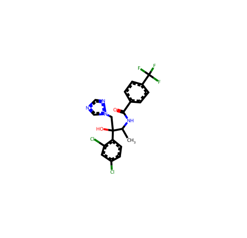 CC(NC(=O)c1ccc(C(F)(F)F)cc1)C(O)(Cn1cncn1)c1ccc(Cl)cc1Cl